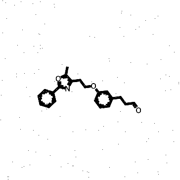 Cc1oc(-c2ccccc2)nc1CCOc1cccc(CCC=O)c1